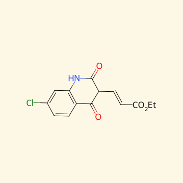 CCOC(=O)C=CC1C(=O)Nc2cc(Cl)ccc2C1=O